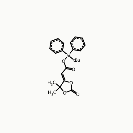 CC1(C)OC(=O)OC1=CC(=O)O[Si](c1ccccc1)(c1ccccc1)C(C)(C)C